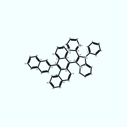 C1=CCN2C(=C1)N(c1ccccc1)C(c1ncccn1)=C2c1c2ccccc2c(-c2ccc3ccccc3c2)c2c1ccc1ccccc12